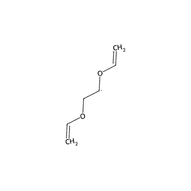 C=CO[CH]COC=C